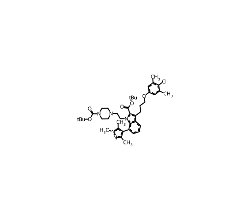 Cc1cc(OCCCc2c(C(=O)OC(C)(C)C)n(CCN3CCN(C(=O)OC(C)(C)C)CC3)c3c(-c4c(C)nn(C)c4C)cccc23)cc(C)c1Cl